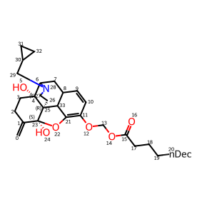 C=C1CC[C@@]2(O)C3CC4C=CC(OCOC(=O)CCCCCCCCCCCCC)=C5O[C@]1(O)[C@]2(CCN3CC1CC1)C54